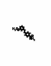 COc1cccc(CCc2ccc(C(N)=O)cc2)c1